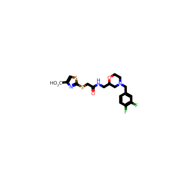 O=C(CSc1nc(C(=O)O)cs1)NCC1CN(Cc2ccc(F)c(F)c2)CCO1